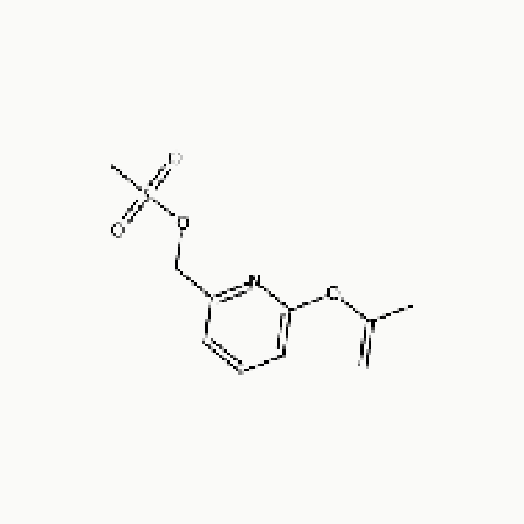 C=C(C)Oc1cccc(COS(C)(=O)=O)n1